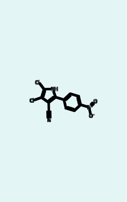 N#Cc1c(-c2ccc([N+](=O)[O-])cc2)[nH]c(Cl)c1Cl